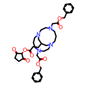 O=C(CN1CCCN2CCN(CC(=O)OCc3ccccc3)CCCN(CC1)CC(CCC(=O)OC1C(=O)CCC1=O)C2)OCc1ccccc1